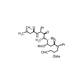 CCCN(C[C@@H](CC=O)OC)C(=O)C[C@@H](OC)[C@H]([C@@H](C)CC)N(C)C(=O)[C@@H](NC(=O)CN(C)C)C(C)C